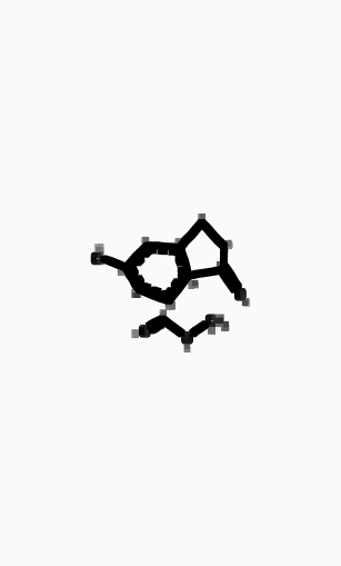 COC=O.O=C1CCc2cc(Cl)ccc21